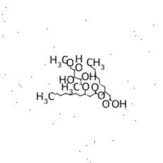 CCCCCCCC(CC(=O)O)OC(=O)CC(CCCCCCC)O[C@H](C)[C@H](O)[C@H](O)[C@H](O)COC